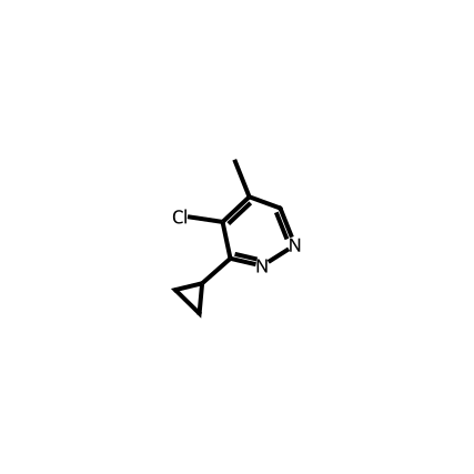 Cc1cnnc(C2CC2)c1Cl